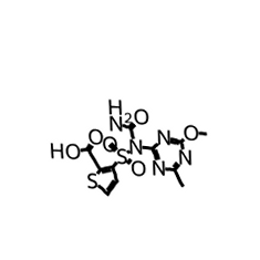 COc1nc(C)nc(N(C(N)=O)S(=O)(=O)c2ccsc2C(=O)O)n1